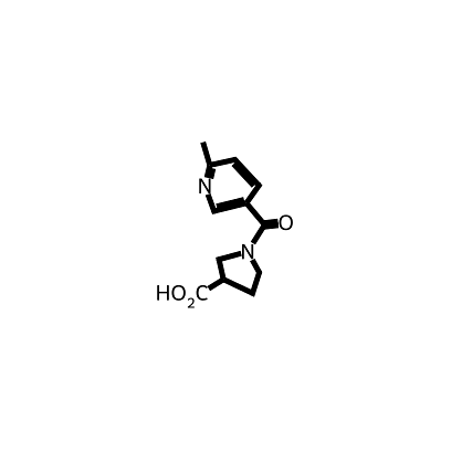 Cc1ccc(C(=O)N2CCC(C(=O)O)C2)cn1